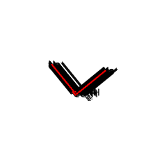 C=CC(=O)O.C=CC(=O)O.C=CC(=O)O.C=CC(=O)O.C=CC(=O)O.[Na+].[Na+].[Na+].[Na+].[Na+].[Na+].[Na+].[Na+].[Na+].[Na+].[Na+].[Na+].[Na+].[Na+].[Na+].[Na+].[Na+].[Na+].[Na+].[Na+].[Na+].[Na+].[Na+].[Na+].[Na+].[Na+].[Na+].[Na+].[Na+].[Na+].[Na+].[Na+].[Na+].[Na+].[Na+].[Na+].[Na+].[Na+].[Na+].[Na+].[Na+].[Na+].[Na+].[Na+].[Na+].[Na+].[Na+].[Na+].[Na+].[Na+].[Na+].[Na+].[Na+].[Na+].[Na+].[Na+].[Na+].[Na+].[Na+].[Na+].[Na+].[Na+].[Na+].[Na+].[Na+].[Na+].[Na+].[Na+].[Na+].[Na+].[Na+].[Na+].[Na+].[Na+].[Na+].[Na+].[Na+].[Na+].[Na+].[Na+].[Na+].[Na+].[Na+].[Na+].[Na+].[Na+].[Na+].[Na+].[Na+].[Na+].[Na+].[Na+].[Na+].[Na+].[Na+].[Na+].[Na+].[Na+].[Na+]